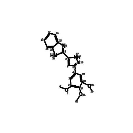 COc1cc(-c2cc(-c3nc4ccccc4[nH]3)[nH]n2)cc(OC)c1OC